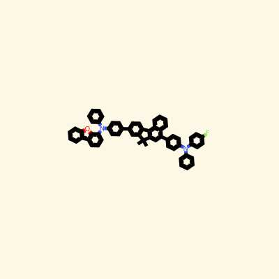 CC1(C)c2cc(-c3ccc(N(c4ccccc4)c4cccc5c4oc4ccccc45)cc3)ccc2-c2c1cc(-c1ccc(N(c3ccccc3)c3ccc(F)cc3)cc1)c1ccccc21